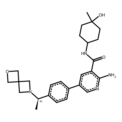 C[C@H](c1ccc(-c2cnc(N)c(C(=O)NC3CCC(C)(O)CC3)c2)cc1)N1CC2(COC2)C1